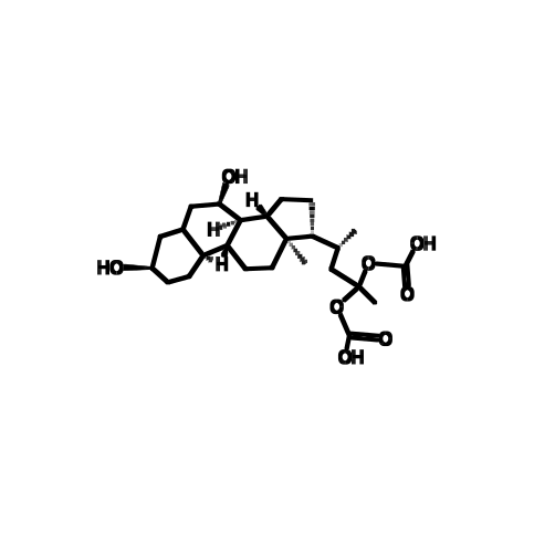 C[C@H](CC(C)(OC(=O)O)OC(=O)O)[C@H]1CC[C@H]2[C@@H]3[C@H](O)CC4C[C@H](O)CC[C@]4(C)[C@H]3CC[C@]12C